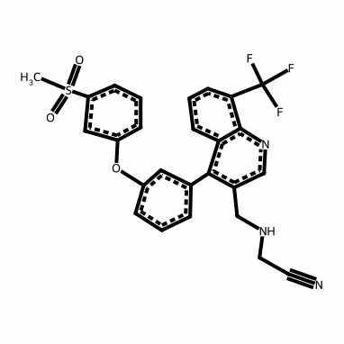 CS(=O)(=O)c1cccc(Oc2cccc(-c3c(CNCC#N)cnc4c(C(F)(F)F)cccc34)c2)c1